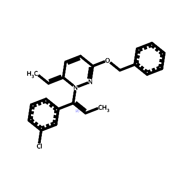 CC=C1C=CC(OCc2ccccc2)=NN1/C(=C\C)c1cccc(Cl)c1